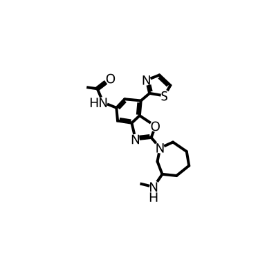 CNC1CCCCN(c2nc3cc(NC(C)=O)cc(-c4nccs4)c3o2)C1